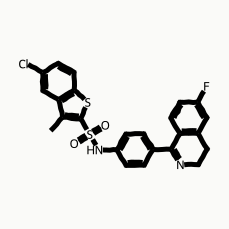 Cc1c(S(=O)(=O)Nc2ccc(C3=NCCc4cc(F)ccc43)cc2)sc2ccc(Cl)cc12